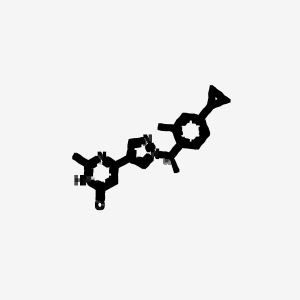 Cc1nc(-c2cnn([C@H](C)c3ccc(C4CC4)cc3C)c2)cc(=O)[nH]1